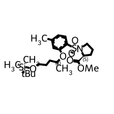 COC(=O)[C@@H]1CCCN1S(=O)(=O)c1ccc(C)cc1O[C@H](C)CCCO[Si](C)(C)C(C)(C)C